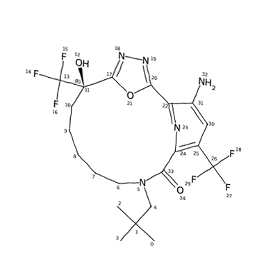 CC(C)(C)CN1CCCCC[C@](O)(C(F)(F)F)c2nnc(o2)-c2nc(c(C(F)(F)F)cc2N)C1=O